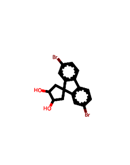 OC1CC2(CC1O)c1cc(Br)ccc1-c1ccc(Br)cc12